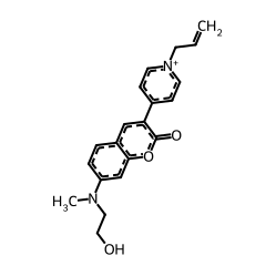 C=CC[n+]1ccc(-c2cc3ccc(N(C)CCO)cc3oc2=O)cc1